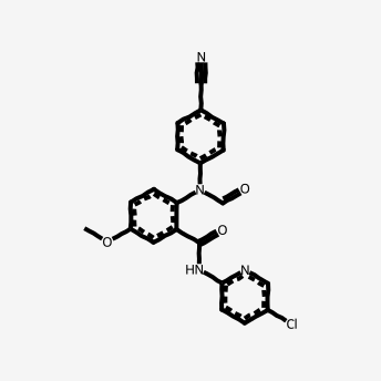 COc1ccc(N(C=O)c2ccc(C#N)cc2)c(C(=O)Nc2ccc(Cl)cn2)c1